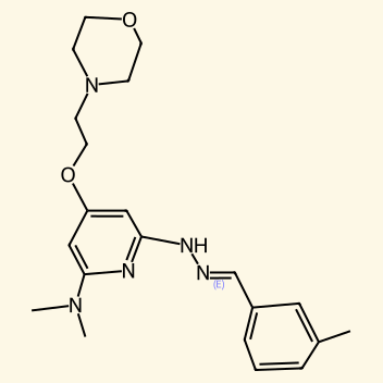 Cc1cccc(/C=N/Nc2cc(OCCN3CCOCC3)cc(N(C)C)n2)c1